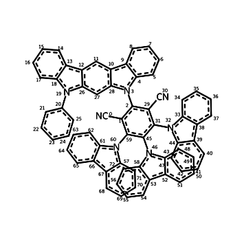 N#Cc1c(-n2c3ccccc3c3cc4c5ccccc5n(-c5ccccc5)c4cc32)c(C#N)c(-n2c3ccccc3c3ccccc32)c(-n2c3ccccc3c3ccccc32)c1-n1c2ccccc2c2ccccc21